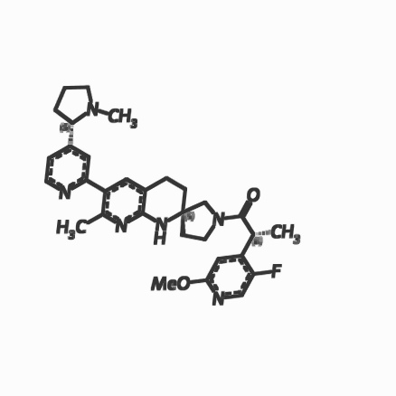 COc1cc([C@@H](C)C(=O)N2CC[C@@]3(CCc4cc(-c5cc([C@@H]6CCCN6C)ccn5)c(C)nc4N3)C2)c(F)cn1